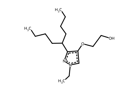 CCCCC(CCCC)c1nn(CC)cc1OCCO